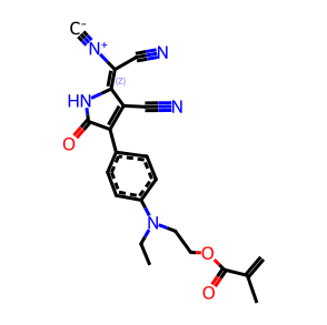 [C-]#[N+]/C(C#N)=C1\NC(=O)C(c2ccc(N(CC)CCOC(=O)C(=C)C)cc2)=C1C#N